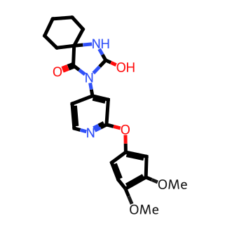 COc1ccc(Oc2cc(N3C(=O)C4(CCCCC4)NC3O)ccn2)cc1OC